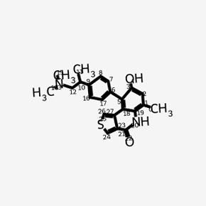 Cc1cc(O)c(-c2ccc(C(C)CN(C)C)cc2)c2c1[nH]c(=O)c1cscc12